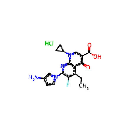 CCc1c(F)c(-n2ccc(N)c2)nc2c1c(=O)c(C(=O)O)cn2C1CC1.Cl